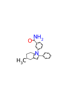 CC1CCc2c(cc(-c3ccccc3)n2-c2cccc(C(N)=O)c2)C1